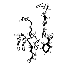 CC(C)N=C=O.CCCCCCCCCCCCCCCCCCN=C=O.CCN=C=O.CCOC(=O)CN=C=O.CN=C=O.C[C@H](N=C=O)c1ccccc1